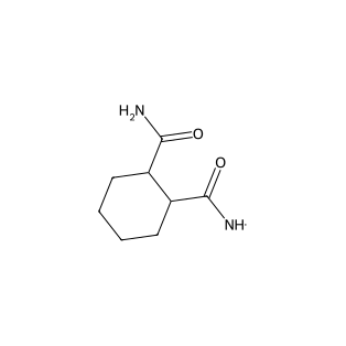 [NH]C(=O)C1CCCCC1C(N)=O